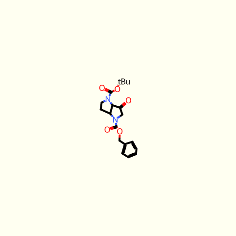 CC(C)(C)OC(=O)N1CCC2C1C(=O)CN2C(=O)OCc1ccccc1